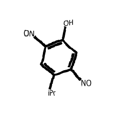 CC(C)c1cc(N=O)c(O)cc1N=O